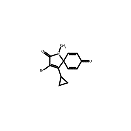 CN1C(=O)C(Br)=C(C2CC2)C12C=CC(=O)C=C2